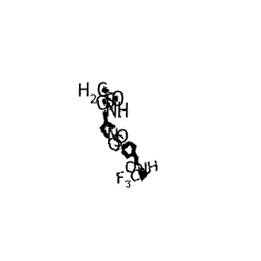 C=CS(=O)(=O)NCC1CCN(S(=O)(=O)c2ccc(CC(=O)NC3(C(F)(F)F)CC3)cc2)C1